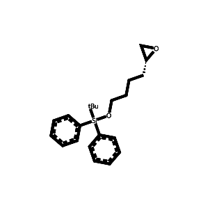 CC(C)(C)[Si](OCCCC[C@@H]1CO1)(c1ccccc1)c1ccccc1